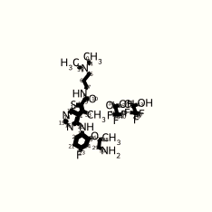 CCN(CC)CCCNC(=O)c1sc2ncnc(Nc3ccc(F)cc3OC(C)CN)c2c1C.O=C(O)C(F)(F)F.O=C(O)C(F)(F)F